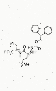 CSCC[C@H](NNC(=O)OCC1c2ccccc2-c2ccccc21)C(=O)N[C@@H](CC(C)C)C(=O)O